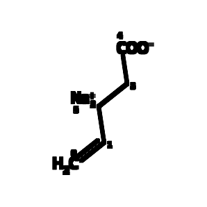 C=CCCC(=O)[O-].[Na+]